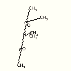 CCCCCCCCCOC(=O)CCCCCCCN(CCCCCC(=O)OC(CCCCCCCC)CCCCCCCC)CCN(C)C